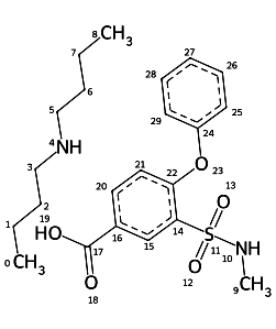 CCCCNCCCC.CNS(=O)(=O)c1cc(C(=O)O)ccc1Oc1ccccc1